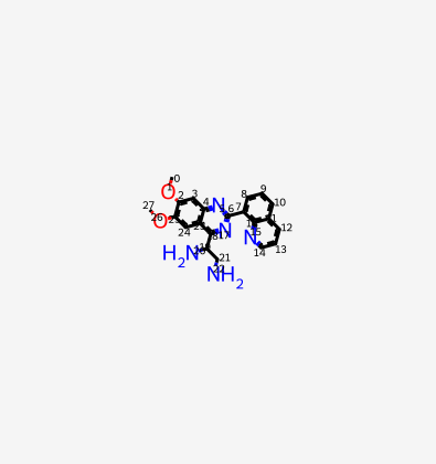 COc1cc2nc(-c3cccc4cccnc34)nc(C(N)CN)c2cc1OC